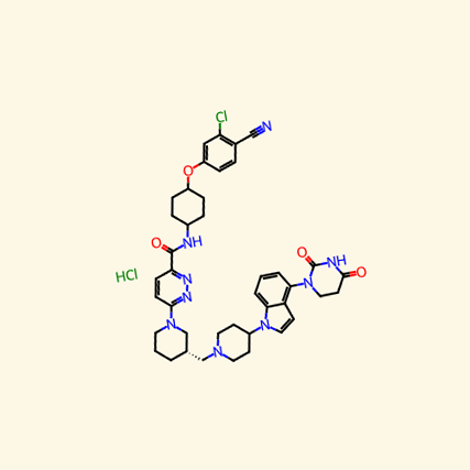 Cl.N#Cc1ccc(OC2CCC(NC(=O)c3ccc(N4CCC[C@@H](CN5CCC(n6ccc7c(N8CCC(=O)NC8=O)cccc76)CC5)C4)nn3)CC2)cc1Cl